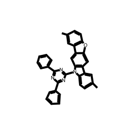 Cc1ccc2oc3cc4c5cc(C)ccc5n(-c5nc(-c6ccccc6)nc(-c6ccccc6)n5)c4cc3c2c1